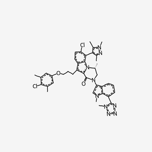 Cc1cc(OCCCc2c3n(c4c(-c5c(C)nn(C)c5C)c(Cl)ccc24)[C@H](C)CN(c2cn(C)c4c(-c5nnnn5C)cccc24)C3=O)cc(C)c1Cl